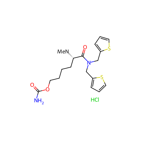 CN[C@@H](CCCCOC(N)=O)C(=O)N(Cc1cccs1)Cc1cccs1.Cl